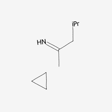 C1CC1.CC(=N)CC(C)C